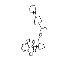 O=C(COCC1CCCN1S(=O)(=O)c1c(Cl)cccc1Cl)N1CCC(N2CCCCC2)CC1